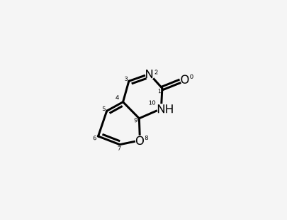 O=C1N=CC2=CC=COC2N1